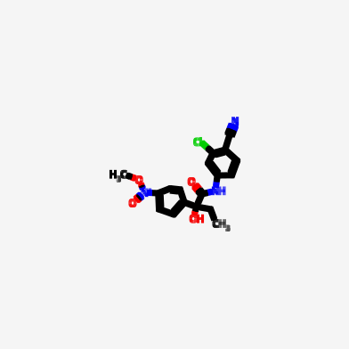 CCC(O)(C(=O)Nc1ccc(C#N)c(Cl)c1)c1ccc([N+](=O)OC)cc1